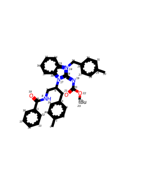 Cc1ccc(CC(CNC(=O)c2ccccc2)n2c(=NC(=O)OC(C)(C)C)n(Cc3ccc(C)cc3)c3ccccc32)cc1